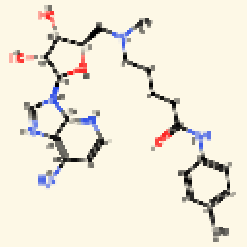 CC(C)N(CCCCC(=O)Nc1ccc(C(C)(C)C)cc1)C[C@H]1O[C@@H](n2cnc3c(N)ccnc32)[C@H](O)[C@@H]1O